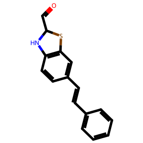 O=CC1Nc2ccc(C=Cc3ccccc3)cc2S1